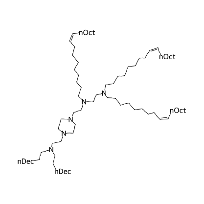 CCCCCCCC/C=C\CCCCCCCCN(CCCCCCCC/C=C\CCCCCCCC)CCN(CCCCCCCC/C=C\CCCCCCCC)CCN1CCN(CCN(CCCCCCCCCCCC)CCCCCCCCCCCC)CC1